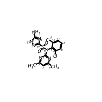 Cc1cc(C)nc(N(c2c(Cl)cccc2Cl)S(=O)(=O)c2n[nH]c(N)n2)n1